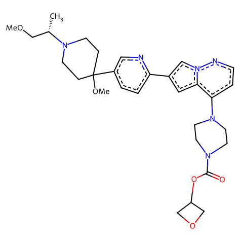 COC[C@H](C)N1CCC(OC)(c2ccc(-c3cc4c(N5CCN(C(=O)OC6COC6)CC5)ccnn4c3)nc2)CC1